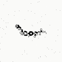 CC(=O)NC[C@H]1CN(c2ccc(N3CCNN(C(=O)CNCc4cnoc4)CC3)c(F)c2)C(=O)O1